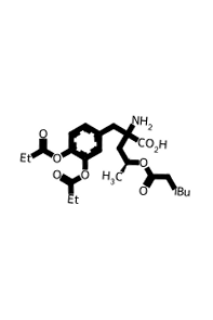 CCC(=O)Oc1ccc(CC(N)(C[C@H](C)OC(=O)CC(C)CC)C(=O)O)cc1OC(=O)CC